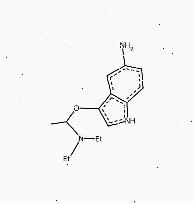 CCN(CC)C(C)Oc1c[nH]c2ccc(N)cc12